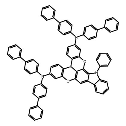 c1ccc(-c2ccc(N(c3ccc(-c4ccccc4)cc3)c3ccc4c(c3)Oc3cc5c6ccccc6n(-c6ccccc6)c5c5c3B4c3ccc(N(c4ccc(-c6ccccc6)cc4)c4ccc(-c6ccccc6)cc4)cc3O5)cc2)cc1